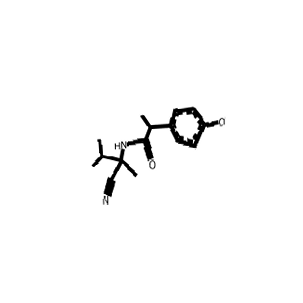 CC(C(=O)NC(C)(C#N)C(C)C)c1ccc(Cl)cc1